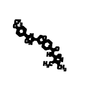 Cc1noc(NC(=O)N2CCC3(CC2)CC(c2noc(-c4ccc(OC(F)(F)F)cc4)n2)CO3)c1C